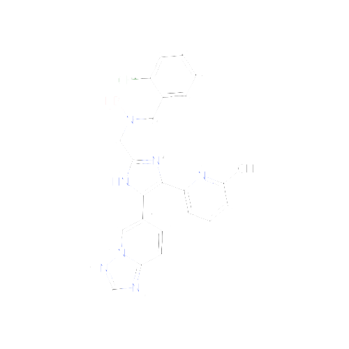 BN(Cc1nc(-c2cccc(C)n2)c(-c2ccc3ncnn3c2)[nH]1)Cc1ccccc1Cl